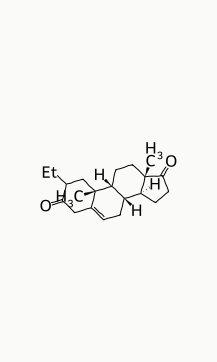 CCC1C[C@@]2(C)C(=CC[C@@H]3[C@H]2CC[C@]2(C)C(=O)CC[C@@H]32)CC1=O